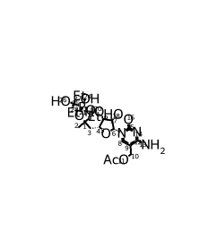 CCC(C)(C[C@H]1O[C@@H](n2cc(COC(C)=O)c(N)nc2=O)[C@H](O)[C@@H]1O)OP(=O)(O)C(O)(CC)CC